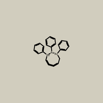 C1=C=C[As](c2ccccc2)[As](c2ccccc2)[As](c2ccccc2)CC=1